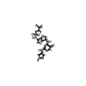 CC(CS(=O)(=O)N[C@H]1COC2C1OC[C@H]2Nc1nc(Nc2cnn(C)c2)ncc1Cl)C(F)F